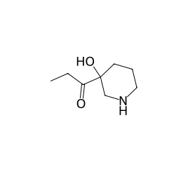 CCC(=O)C1(O)CCCNC1